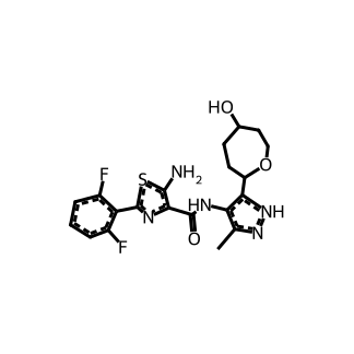 Cc1n[nH]c(C2CCC(O)CCO2)c1NC(=O)c1nc(-c2c(F)cccc2F)sc1N